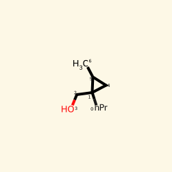 CCCC1(CO)CC1C